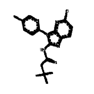 Cc1ccc(-n2c(NC(=O)CC(C)(C)C)nc3ccc(Cl)nc32)nc1